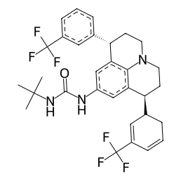 CC(C)(C)NC(=O)Nc1cc2c3c(c1)[C@H](C1C=C(C(F)(F)F)C=CC1)CCN3CC[C@H]2c1cccc(C(F)(F)F)c1